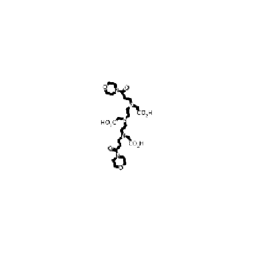 O=C(O)CN(CCC(=O)N1CCOCC1)CCN(CCN(CCC(=O)N1CCOCC1)CC(=O)O)CC(=O)O